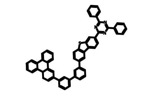 C1=C(c2cccc(-c3cccc(-c4ccc5sc6cc(-c7nc(-c8ccccc8)nc(-c8ccccc8)n7)ccc6c5c4)c3)c2)C=C2c3ccccc3-c3ccccc3C2C1